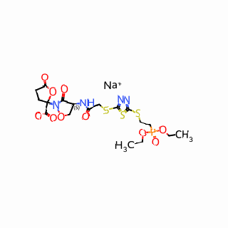 CCOP(=O)(CCSc1nnc(SCC(=O)N[C@H]2CON(C3(C(=O)[O-])CCC(=O)O3)C2=O)s1)OCC.[Na+]